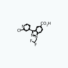 O=C(O)c1ccc2c(c1)c(-c1ccnc(Cl)c1)nn2CC(F)F